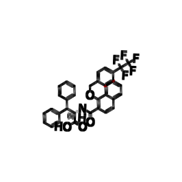 O=C(N[C@H](C(=O)O)C(c1ccccc1)c1ccccc1)c1ccc2ccccc2c1OCc1ccc(C(F)(F)C(F)(F)F)cc1